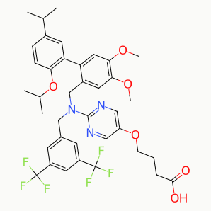 COc1cc(CN(Cc2cc(C(F)(F)F)cc(C(F)(F)F)c2)c2ncc(OCCCC(=O)O)cn2)c(-c2cc(C(C)C)ccc2OC(C)C)cc1OC